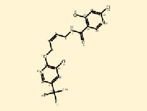 O=C(NC/C=C\COc1ncc(C(F)(F)F)cc1Cl)c1cnc(Cl)cc1Cl